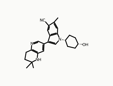 Cc1cc2c(cc1C#N)c(-c1cnc3c(c1)NC(C)(C)CC3)cn2[C@H]1CC[C@@H](O)CC1